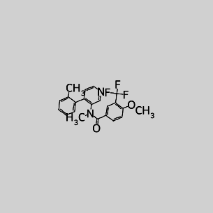 COc1ccc(C(=O)N(C)c2cnccc2-c2ccccc2C)cc1C(F)(F)F